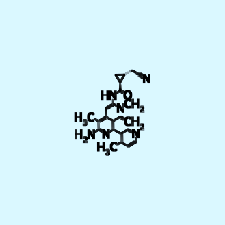 C=Cc1c(-c2cnccc2C)nc(N)c(C)c1/C=C(\N=C)NC(=O)[C@H]1C[C@@H]1CC#N